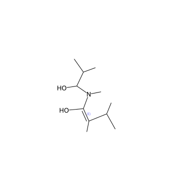 C/C(=C(\O)N(C)C(O)C(C)C)C(C)C